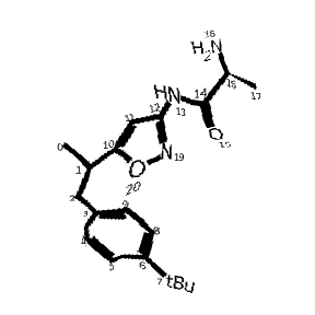 CC(Cc1ccc(C(C)(C)C)cc1)c1cc(NC(=O)[C@H](C)N)no1